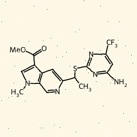 COC(=O)c1cn(C)c2cnc(C(C)Sc3nc(N)cc(C(F)(F)F)n3)cc12